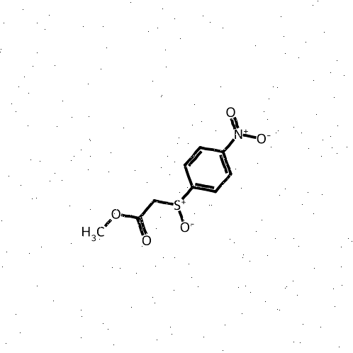 COC(=O)C[S+]([O-])c1ccc([N+](=O)[O-])cc1